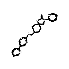 O=C1OC2(CCC(CNc3ncc(-c4ccccn4)cn3)CC2)CN1c1ccccn1